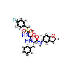 CN(C(=O)[C@H](Cc1ccccc1)NC(=O)NS(=O)(=O)Cc1ccc(F)cc1)c1ccc2c(c1)CCO2